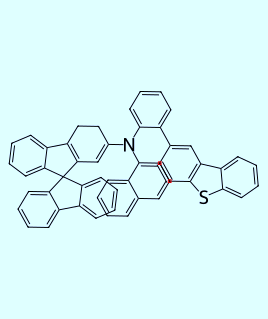 c1c(-c2ccccc2N(C2=CC3=C(CC2)c2ccccc2C32c3ccccc3-c3ccccc32)c2cccc3ccccc23)cc2c(c#1)sc1ccccc12